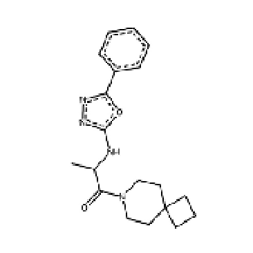 CC(Nc1nnc(-c2ccccc2)o1)C(=O)N1CCC2(CCC2)CC1